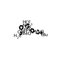 C=CC(=O)Nc1cccc(Nc2nc(Nc3ccc(N4CCN(C(=O)C(C)(C)C)CC4)cc3OC)ncc2C(F)(F)F)c1